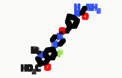 CCn1cc(C(=O)O)c(=O)c2cc(F)c(N3CCN(OCc4ccc(NC(=O)CN)cc4)CC3)cc21